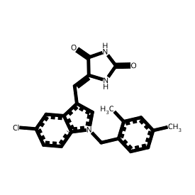 Cc1ccc(Cn2cc(/C=C3\NC(=O)NC3=O)c3cc(Cl)ccc32)c(C)c1